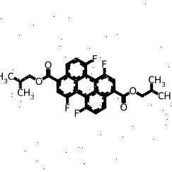 CC(C)COC(=O)c1cc(F)c2c3c(F)ccc4c(C(=O)OCC(C)C)cc(F)c(c5c(F)ccc1c52)c43